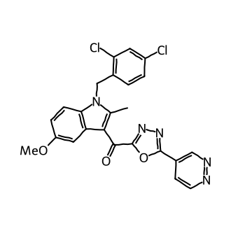 COc1ccc2c(c1)c(C(=O)c1nnc(-c3ccnnc3)o1)c(C)n2Cc1ccc(Cl)cc1Cl